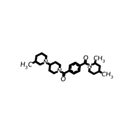 CC1CCN(C(=O)c2ccc(C(=O)N3CCC(N4CCCC(C)C4)CC3)cc2)C(C)C1